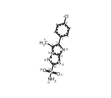 Cc1c(-c2ccc(Cl)cc2)nc2sc(S(N)(=O)=O)nn12